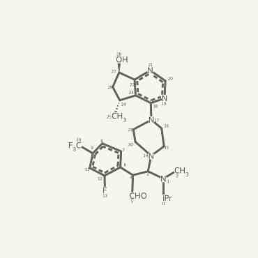 CC(C)N(C)C(C(C=O)c1ccc(C(F)(F)F)cc1F)N1CCN(c2ncnc3c2[C@H](C)C[C@H]3O)CC1